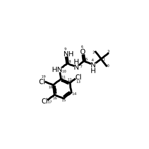 CC(C)(C)NC(=O)NC(=N)Nc1c(Cl)ccc(Cl)c1Cl